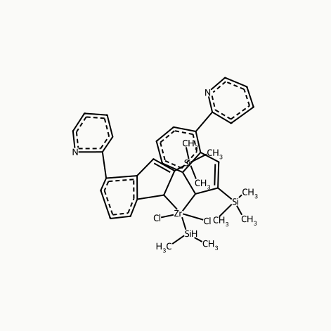 C[SiH](C)[Zr]([Cl])([Cl])([CH]1C([Si](C)(C)C)=Cc2c(-c3ccccn3)cccc21)[CH]1C([Si](C)(C)C)=Cc2c(-c3ccccn3)cccc21